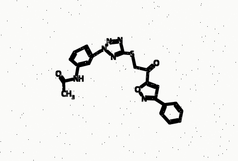 CC(=O)Nc1cccc(-n2nnc(SCC(=O)c3cc(-c4ccccc4)no3)n2)c1